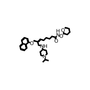 CC(C)N1CCC(NCC(=CCCCCC(=O)NOC2CCCCO2)COc2cccc3ccccc23)CC1